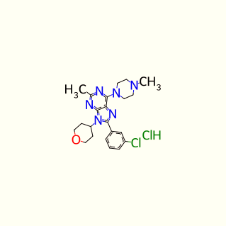 Cc1nc(N2CCN(C)CC2)c2nc(-c3cccc(Cl)c3)n(C3CCOCC3)c2n1.Cl